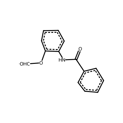 O=[C]Oc1ccccc1NC(=O)c1ccccc1